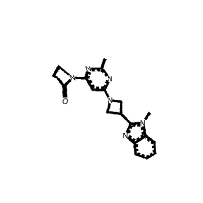 Cc1nc(N2CC(c3nc4ccccc4n3C)C2)cc(N2CCC2=O)n1